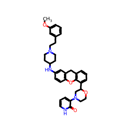 COc1cccc(CCN2CCC(Nc3ccc4c(c3)Cc3cccc(C5CN(c6ccc[nH]c6=O)CCO5)c3O4)CC2)c1